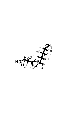 CCC(C)(C)C(=O)OC(C)(F)C(F)(F)C(F)(F)C(C)(F)F